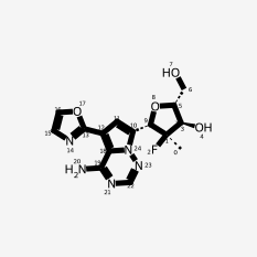 C[C@@]1(F)[C@H](O)[C@@H](CO)O[C@H]1c1cc(-c2ncco2)c2c(N)ncnn12